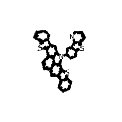 c1ccc2c(c1)sc1c2cc2c3c1ccc1cc4c5ccccc5sc4c(c13)n2-c1ccc2sc3cccnc3c2c1